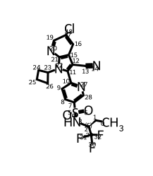 CC[C@H](NS(=O)(=O)c1ccc(-c2c(C#N)c3cc(Cl)cnc3n2C2CCC2)nc1)C(F)(F)F